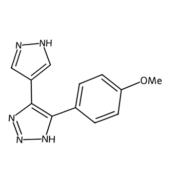 COc1ccc(-c2[nH]nnc2-c2cn[nH]c2)cc1